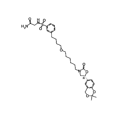 CC1(C)OCc2cc([C@@H]3CN(CCCCCCOCCCCc4cccc(S(=O)(=O)NCC(N)=O)c4)C(=O)O3)ccc2O1